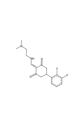 CN(C)CCNC=C1C(=O)CC(c2cccc(F)c2F)CC1=O